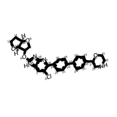 Clc1cc2[nH]c(OC3CO[C@@H]4CCO[C@H]34)nc2nc1-c1ccc(-c2ccc(C3CNCCO3)cc2)cc1